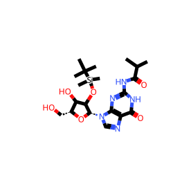 CC(C)C(=O)Nc1nc2c(ncn2[C@@H]2O[C@H](CO)C(O)C2O[Si](C)(C)C(C)(C)C)c(=O)[nH]1